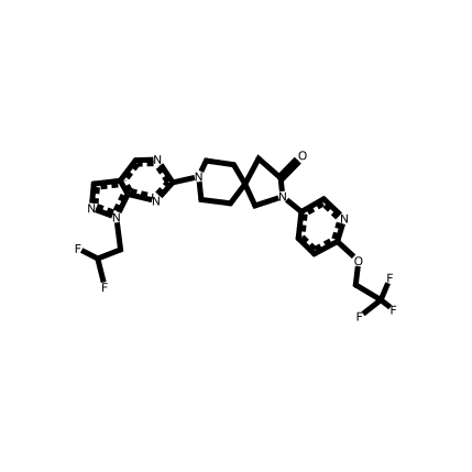 O=C1CC2(CCN(c3ncc4cnn(CC(F)F)c4n3)CC2)CN1c1ccc(OCC(F)(F)F)nc1